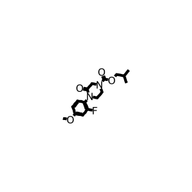 COc1ccc(N2CCN(C(=O)OCC(C)C)CC2=O)c(F)c1